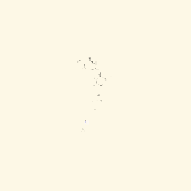 COc1cc(CNC(=O)CCCC/C=C/C(C)C)ccc1OC(=O)N[C@@H](C)C(=O)O